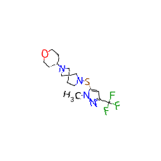 Cn1nc(C(F)(F)F)cc1SN1CCC2(C1)CN(C1CCOCC1)C2